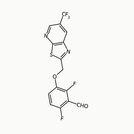 O=Cc1c(F)ccc(OCc2nc3cc(C(F)(F)F)cnc3s2)c1F